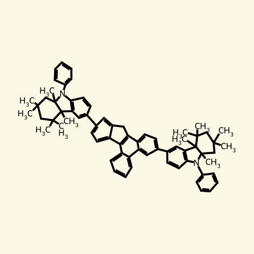 CC1(C)CC(C)(C)C2(C)c3cc(-c4ccc5c(c4)Cc4c-5c5ccccc5c5cc(-c6ccc7c(c6)C6(C)C(C)(C)CC(C)(C)CC6(C)N7c6ccccc6)ccc45)ccc3N(c3ccccc3)C2(C)C1